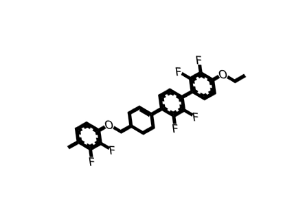 CCOc1ccc(-c2ccc(C3=CCC(COc4ccc(C)c(F)c4F)CC3)c(F)c2F)c(F)c1F